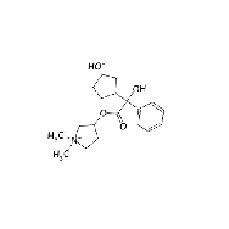 C[N+]1(C)CCC(OC(=O)C(O)(c2ccccc2)C2CCCC2)C1.[OH-]